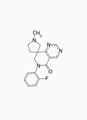 CN1CCC2(C1)CN(c1ccccc1F)C(=O)c1cncnc12